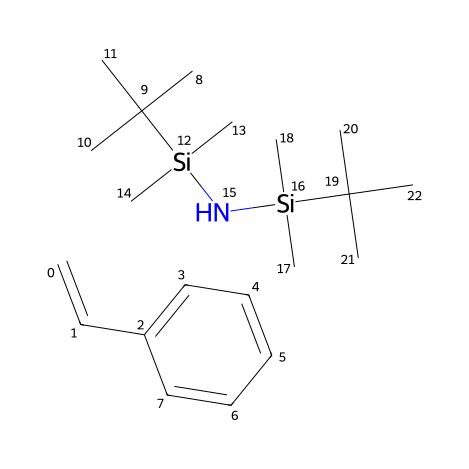 C=Cc1ccccc1.CC(C)(C)[Si](C)(C)N[Si](C)(C)C(C)(C)C